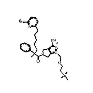 CC(CCCCCc1cccc(Br)n1)(C(=O)N1Cc2c(N)nn(COCC[Si](C)(C)C)c2C1)c1ccccc1